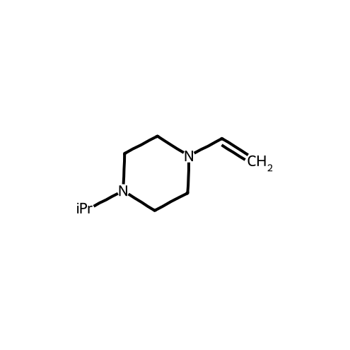 C=CN1CCN(C(C)C)CC1